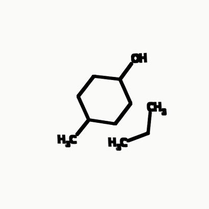 CC1CCC(O)CC1.CCC